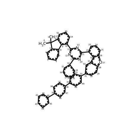 CC1(C)c2ccccc2-c2c(-c3nc(-c4ccccc4)nc(-c4cccc5oc6ccc(-c7ccc(-c8ccc(-c9ccccc9)cc8)cc7)cc6c45)n3)cccc21